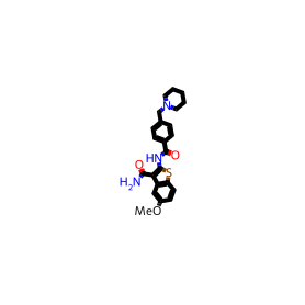 COc1ccc2sc(NC(=O)c3ccc(CN4CCCCC4)cc3)c(C(N)=O)c2c1